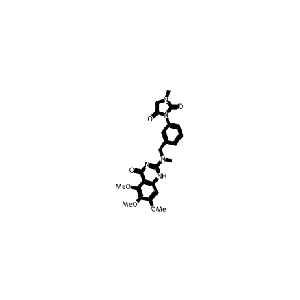 COc1cc2[nH]c(N(C)Cc3cccc(N4C(=O)CN(C)C4=O)c3)nc(=O)c2c(OC)c1OC